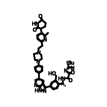 Cc1nc(CCN2CCN(c3ccc(-c4cnc5[nH]nc(-c6ccc([C@@H](C)NC(=O)c7nc(C(C)(C)C)no7)c(CO)c6)c5c4)cc3)CC2)ccc1C1CCC(=O)NC1=O